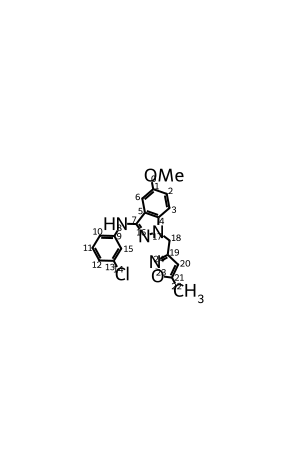 COc1ccc2c(c1)c(Nc1cccc(Cl)c1)nn2Cc1cc(C)on1